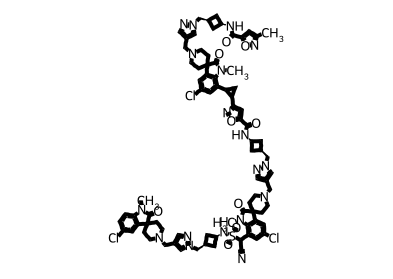 Cc1cc(C(=O)N[C@H]2C[C@H](Cn3cc(CN4CCC5(CC4)C(=O)N(C)c4c(C6CC6c6cc(C(=O)N[C@H]7C[C@H](Cn8cc(CN9CCC%10(CC9)C(=O)N(C)c9c(C(C#N)S(=O)(=O)N[C@H]%11C[C@H](Cn%12cc(CN%13CCC%14(CC%13)C(=O)N(C)c%13ccc(Cl)cc%13%14)cn%12)C%11)cc(Cl)cc9%10)cn8)C7)on6)cc(Cl)cc45)cn3)C2)on1